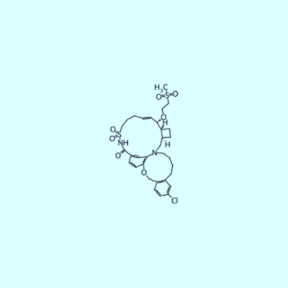 CS(=O)(=O)CCO[C@@H]1/C=C/CCCS(=O)(=O)NC(=O)c2ccc3c(c2)N(CCCCc2cc(Cl)ccc2CO3)C[C@@H]2CC[C@H]21